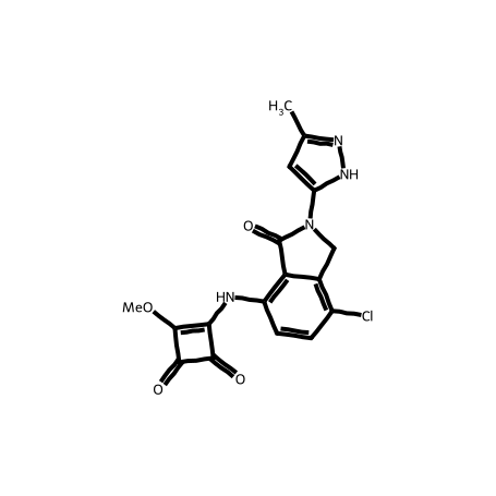 COc1c(Nc2ccc(Cl)c3c2C(=O)N(c2cc(C)n[nH]2)C3)c(=O)c1=O